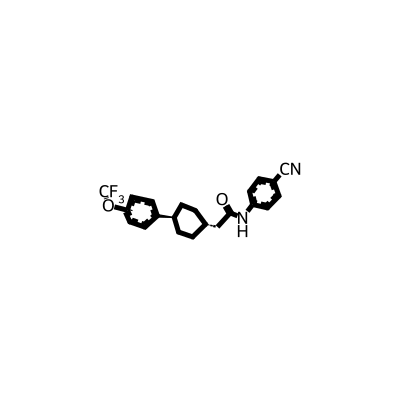 N#Cc1ccc(NC(=O)C[C@H]2CC[C@H](c3ccc(OC(F)(F)F)cc3)CC2)cc1